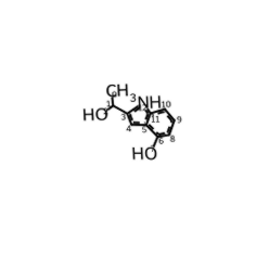 CC(O)c1cc2c(O)cccc2[nH]1